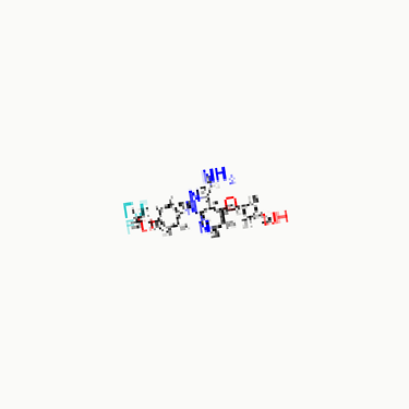 NCc1nn(-c2ccc(OC(F)(F)F)cc2)c2nccc(O[C@H]3C[C@@H](O)C3)c12